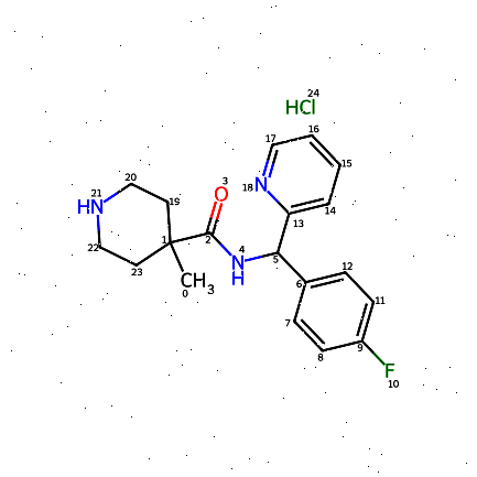 CC1(C(=O)NC(c2ccc(F)cc2)c2ccccn2)CCNCC1.Cl